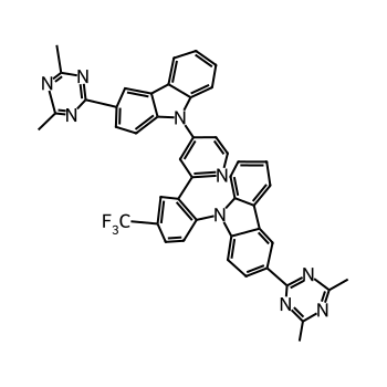 Cc1nc(C)nc(-c2ccc3c(c2)c2ccccc2n3-c2ccnc(-c3cc(C(F)(F)F)ccc3-n3c4ccccc4c4cc(-c5nc(C)nc(C)n5)ccc43)c2)n1